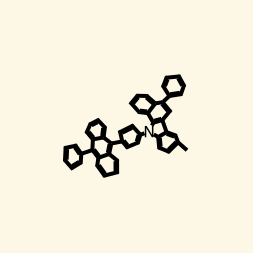 Cc1ccc2c(c1)c1cc(-c3ccccc3)c3ccccc3c1n2-c1ccc(-c2c3ccccc3c(-c3ccccc3)c3ccccc23)cc1